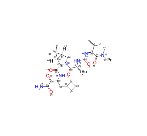 C=C(C)[C@H](NC(=O)N[C@H](C(=O)N1C[C@H]2[C@@H]([C@H]1C(=O)NC(CC1CCC1)C(=O)C(N)=O)C2(C)C)C(C)(C)C)C(=O)N(C)C(C)C